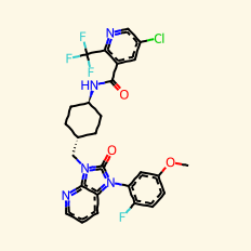 COc1ccc(F)c(-n2c(=O)n(C[C@H]3CC[C@H](NC(=O)c4cc(Cl)cnc4C(F)(F)F)CC3)c3ncccc32)c1